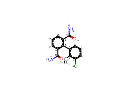 Cc1c(Cl)cccc1-c1c(C(N)=O)cccc1C(N)=O